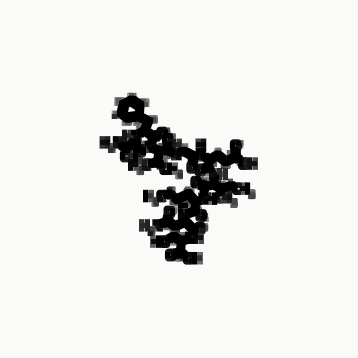 CCC(C)C(NC(=O)C(CCC(=O)O)NC(=O)CNC(=O)C(NC(=O)C(Cc1ccccc1)NC(=O)C(C)N)C(C)C)C(=O)NC(CCSC)C(=O)NC(CC(N)=O)C(=O)NC(CO)C(=O)O